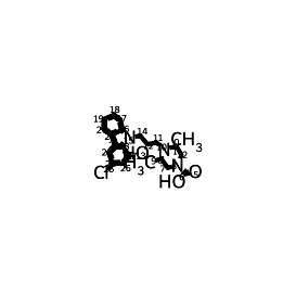 CC1CN(C(=O)O)CC(C)N1CC(O)Cn1c2ccccc2c2cc(Cl)ccc21